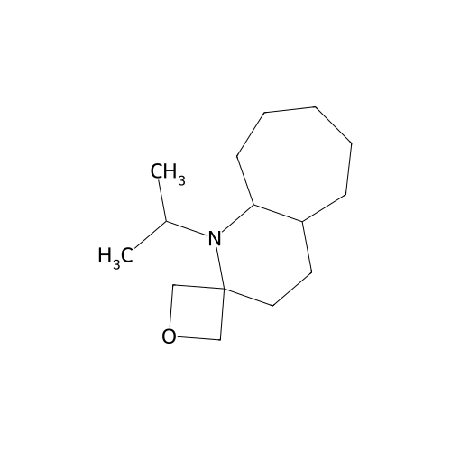 CC(C)N1C2CCCCCC2CCC12COC2